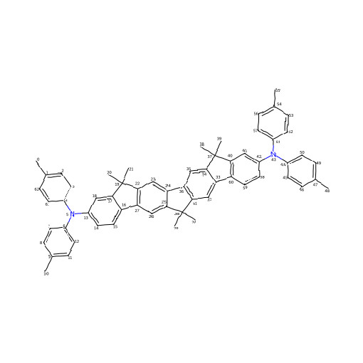 CC1=CCC(N(c2ccc(C)cc2)c2ccc3c(c2)C(C)(C)c2cc4c(cc2-3)C(C)(C)c2cc3c(cc2-4)C(C)(C)c2cc(N(c4ccc(C)cc4)c4ccc(C)cc4)ccc2-3)C=C1